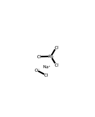 [Cl][Ru]([Cl])[Cl].[Na+].[O-]Cl